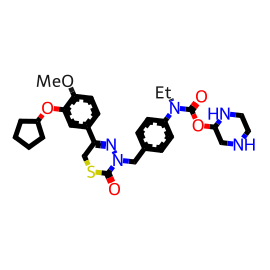 CCN(C(=O)OC1CNCCN1)c1ccc(CN2N=C(c3ccc(OC)c(OC4CCCC4)c3)CSC2=O)cc1